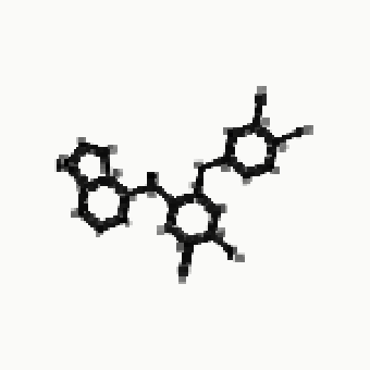 O=c1nc(Nc2cccc3[nH]ccc23)n(Cc2ccc(F)c(Cl)c2)cc1F